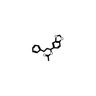 CC(=O)OC(CCc1ccccc1)c1[c]cc2c(c1)OCO2